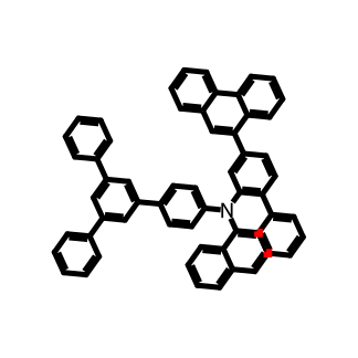 c1ccc(-c2cc(-c3ccccc3)cc(-c3ccc(N(c4cc(-c5cc6ccccc6c6ccccc56)ccc4-c4ccccc4)c4cccc5ccccc45)cc3)c2)cc1